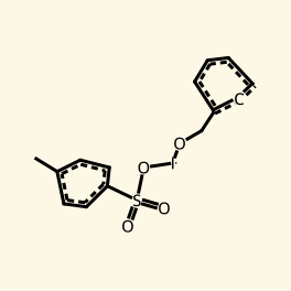 Cc1ccc(S(=O)(=O)O[I]OCc2ccccc2)cc1